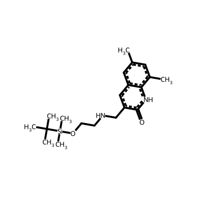 Cc1cc(C)c2[nH]c(=O)c(CNCCO[Si](C)(C)C(C)(C)C)cc2c1